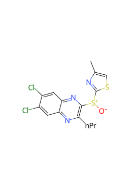 CCCc1nc2cc(Cl)c(Cl)cc2nc1[S+]([O-])c1nc(C)cs1